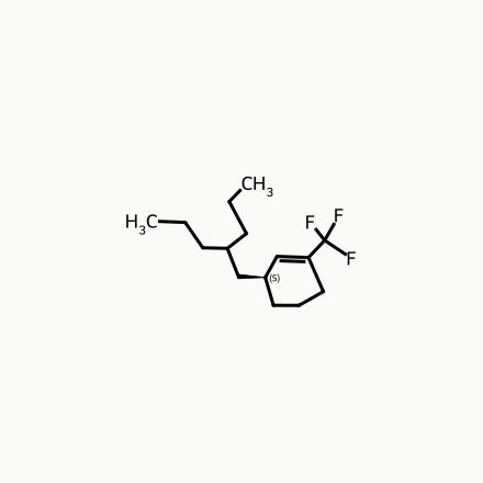 CCCC(CCC)C[C@H]1C=C(C(F)(F)F)CCC1